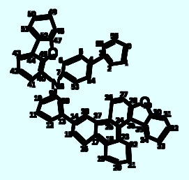 c1ccc(-c2ccc(N(c3cccc(-c4ccc5c6ccccc6c6c(ccc7oc8ccccc8c76)c5c4)c3)c3cccc4c3oc3ccccc34)cc2)cc1